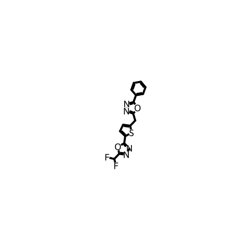 FC(F)c1nnc(-c2ccc(Cc3nnc(-c4ccccc4)o3)s2)o1